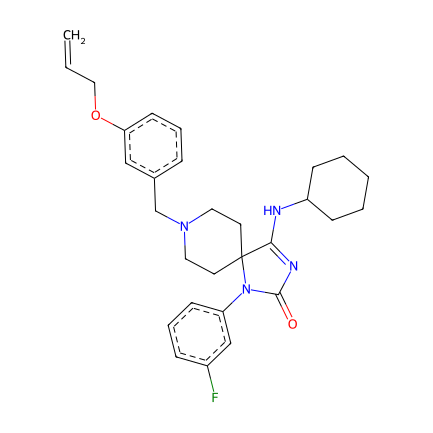 C=CCOc1cccc(CN2CCC3(CC2)C(NC2CCCCC2)=NC(=O)N3c2cccc(F)c2)c1